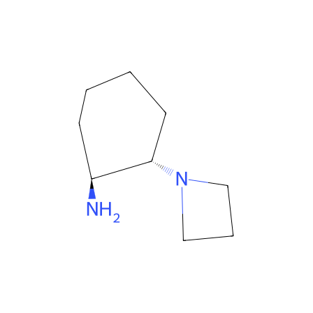 N[C@H]1CCCC[C@@H]1N1CCC1